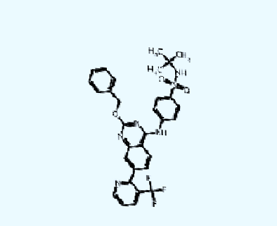 CC(C)(C)NS(=O)(=O)c1ccc(Nc2nc(OCc3ccccc3)nc3cc(-c4ncccc4C(F)(F)F)ccc23)cc1